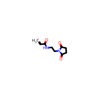 C=CC(=O)NCCN1C(=O)CCC1=O